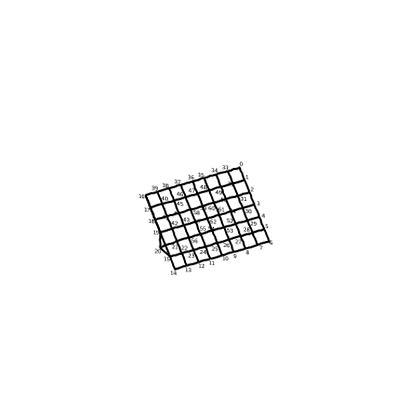 C1C2C3C4C5C6CC7C8C9C%10C%11C%12C%13CC%14%15C%16C%17C%18C%19C%14C%14%20C%13%15C%12%13C%11%12C%10%11C9%10C89C67C56C45C34C23C1C1C2C7C8C%15C%16C%17%16C%18%17C%19%14C%14%18C%17%19C%15%16C8%15C78C27C13C41C52C69C%103C%114C%12(C%20%13%14)C%185C%15%19C86C71C23C645